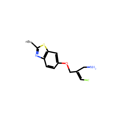 CCCCc1nc2ccc(OC/C(=C/F)CN)cc2s1